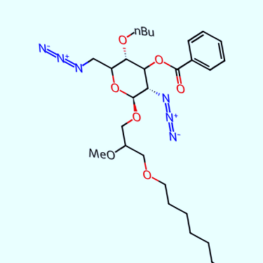 CCCCCCCCCCCCCCCCOCC(CO[C@H]1OC(CN=[N+]=[N-])[C@H](OCCCC)C(OC(=O)c2ccccc2)[C@@H]1N=[N+]=[N-])OC